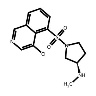 CN[C@@H]1CCN(S(=O)(=O)c2cccc3cncc(Cl)c23)C1